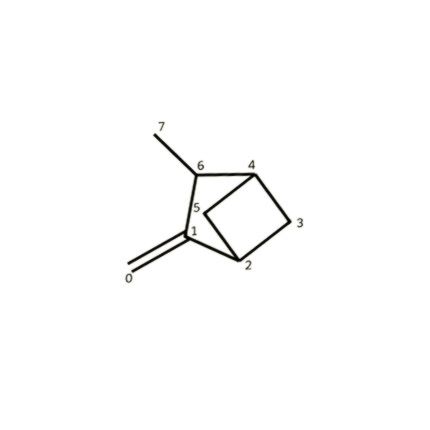 C=C1C2CC(C2)C1C